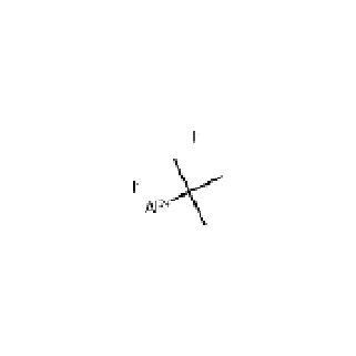 C[C](C)(C)[Al+2].[I-].[I-]